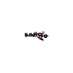 C=CCN(CCC[C@H](NC(=O)c1ccc(-n2ccnn2)cc1)C(=O)N1CCC(F)(C#N)CC1)[C@@H]1C[C@H]1c1ccc(F)cc1